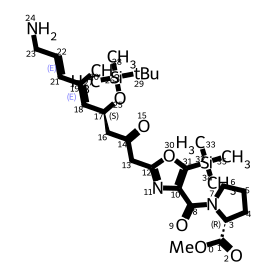 COC(=O)[C@H]1CCCN1C(=O)c1nc(CC(=O)C[C@@H](/C=C(C)/C=C/CN)O[Si](C)(C)C(C)(C)C)oc1[Si](C)(C)C